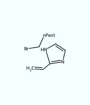 C=Cc1ncc[nH]1.CCCCCCBr